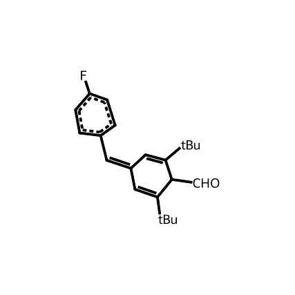 CC(C)(C)C1=CC(=Cc2ccc(F)cc2)C=C(C(C)(C)C)C1C=O